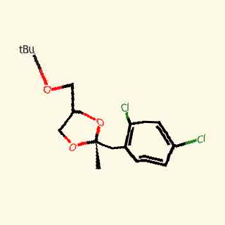 CC(C)(C)OCC1CO[C@@](C)(c2ccc(Cl)cc2Cl)O1